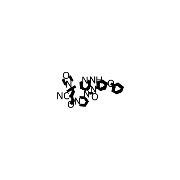 CC(C)(C=C(C#N)C(=O)N1CCCC(n2c(=O)n(-c3ccc(Oc4ccccc4)cc3)c3c(N)nccc32)C1)N1CCOCC1